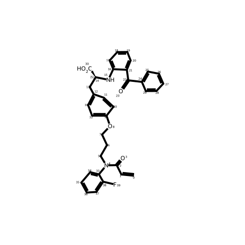 C=CC(=O)N(CCCOc1ccc(C[C@H](Nc2ccccc2C(=O)c2ccccc2)C(=O)O)cc1)c1ccccc1F